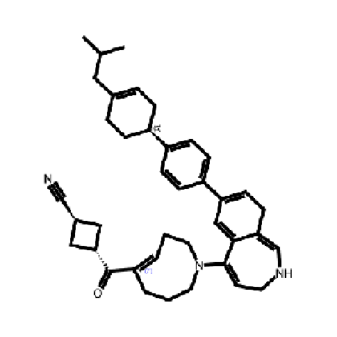 CC(C)CC1=CC[C@@H](c2ccc(C3=CCC4=CNCC=C(N5CC/C=C(\C(=O)[C@H]6C[C@H](C#N)C6)CCC5)C4=C3)cc2)CC1